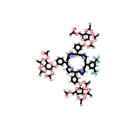 CC(=O)OCC1O[C@@H](Oc2cccc(-c3c4nc(c(-c5cccc(O[C@@H]6OC(COC(C)=O)[C@@H](OC(C)=O)C(OC(C)=O)[C@@H]6OC(C)=O)c5)c5ccc([nH]5)c(-c5cc(C(F)(F)F)cc(C(F)(F)F)c5)c5nc(c(-c6cccc(O[C@@H]7OC(COC(C)=O)[C@@H](OC(C)=O)C(OC(C)=O)[C@@H]7OC(C)=O)c6)c6ccc3[nH]6)C=C5)C=C4)c2)[C@@H](OC(C)=O)C(OC(C)=O)[C@@H]1OC(C)=O